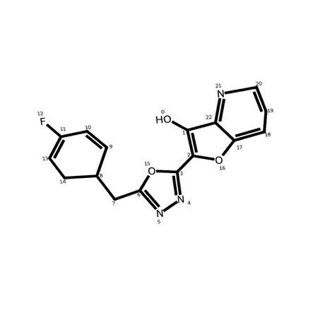 Oc1c(-c2nnc(CC3C=CC(F)=CC3)o2)oc2cccnc12